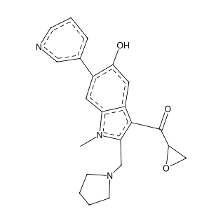 Cn1c(CN2CCCC2)c(C(=O)C2CO2)c2cc(O)c(-c3cccnc3)cc21